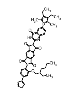 CCCCC(CC)COc1cc(C2=CCC=C2)ccc1N1C(=O)c2cc3c(cc2C1=O)C(=O)C(c1nc2ccc(-n4c(C)c(CC)c(CC)c4C)cc2c(=O)[nH]1)C3=O